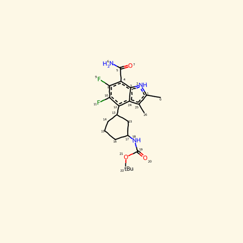 Cc1[nH]c2c(C(N)=O)c(F)c(F)c(C3CCCC(NC(=O)OC(C)(C)C)C3)c2c1C